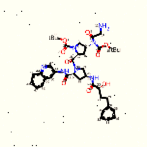 CC(C)(C)OC(=O)N1C[C@H](N(C(=O)CN)C(=O)OC(C)(C)C)C[C@H]1C(=O)N1C[C@H](NC(=O)[C@H](O)CCc2ccccc2)C[C@H]1C(=O)Nc1cnc2ccccc2c1